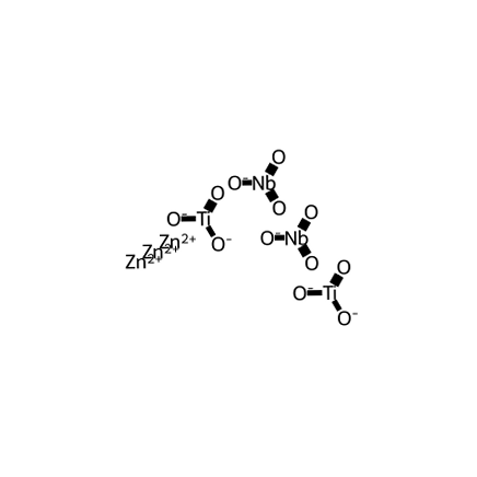 [O]=[Nb](=[O])[O-].[O]=[Nb](=[O])[O-].[O]=[Ti]([O-])[O-].[O]=[Ti]([O-])[O-].[Zn+2].[Zn+2].[Zn+2]